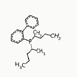 CCCC(C)P(c1ccccc1-c1ccccc1)C(C)CCC